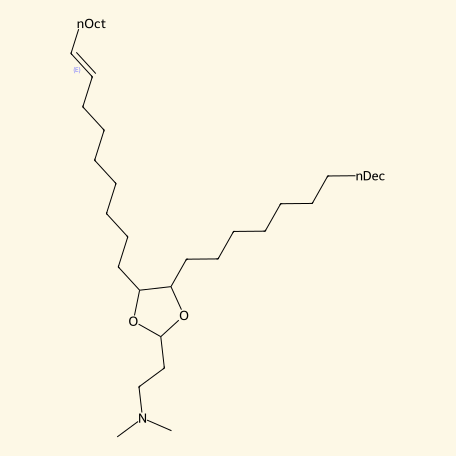 CCCCCCCC/C=C/CCCCCCCC1OC(CCN(C)C)OC1CCCCCCCCCCCCCCCCC